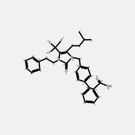 CC(C)CCc1c(C(F)(F)F)n(CCc2ccccc2)c(=O)n1Cc1ccc(-c2ccccc2C(=O)O)cc1